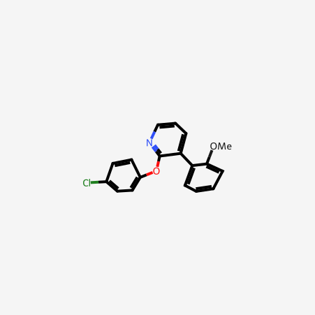 COc1ccccc1-c1cccnc1Oc1ccc(Cl)cc1